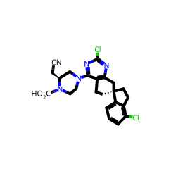 N#CC[C@H]1CN(c2nc(Cl)nc3c2CC[C@@]2(CCc4c(Cl)cccc42)C3)CCN1C(=O)O